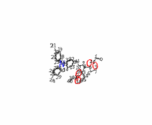 C=CC(=O)OC(CC)C(CCCc1ccc(N(c2ccc(C)cc2)c2ccc(C)cc2)cc1)C(CC)OC(=O)C=C